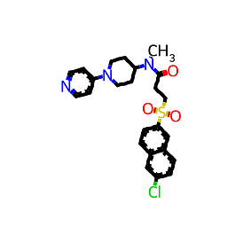 CN(C(=O)CCS(=O)(=O)c1ccc2cc(Cl)ccc2c1)C1CCN(c2ccncc2)CC1